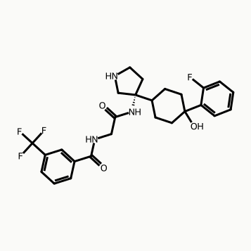 O=C(CNC(=O)c1cccc(C(F)(F)F)c1)N[C@@]1(C2CCC(O)(c3ccccc3F)CC2)CCNC1